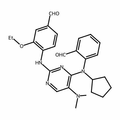 CCOc1cc(C=O)ccc1Nc1ncc(N(C)C)c(N(c2ccccc2C=O)C2CCCC2)n1